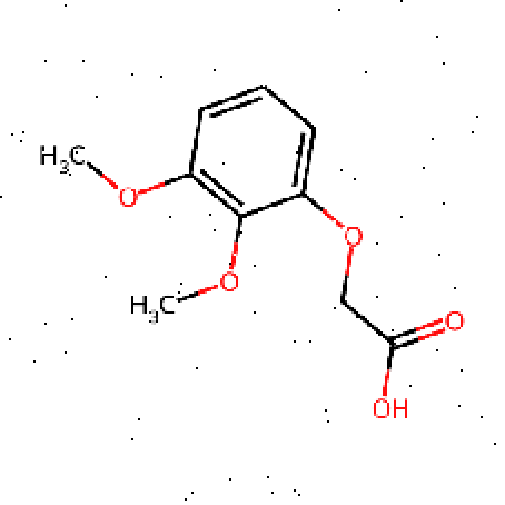 COc1cccc(OCC(=O)O)c1OC